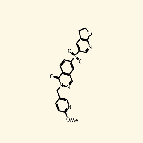 COc1ccc(Cn2ncc3cc(S(=O)(=O)c4cnc5c(c4)CCO5)ccc3c2=O)cn1